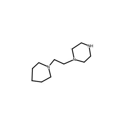 [CH]1CNCCN1CCN1CCCCC1